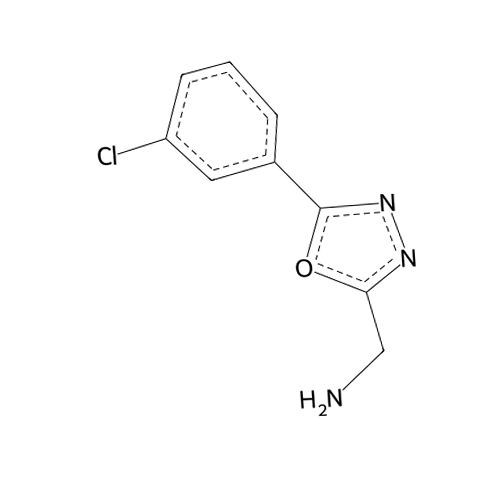 NCc1nnc(-c2cccc(Cl)c2)o1